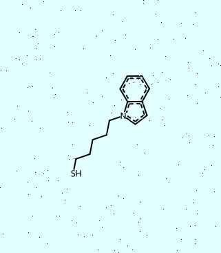 SCCCCCn1ccc2ccccc21